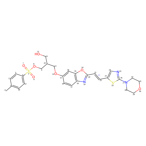 Cc1ccc(S(=O)(=O)OCC(CO)COc2ccc3nc(/C=C/c4cnc(N5CCOCC5)s4)oc3c2)cc1